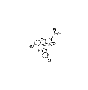 CCN(CC)CCN1CC(=O)N2[C@H](c3cccc(O)c3)c3[nH]c4ccc(Cl)cc4c3C[C@@]2(C)C1=O